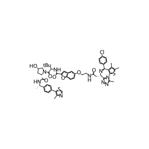 Cc1ncsc1-c1ccc([C@H](C)NC(=O)[C@@H]2C[C@@H](O)CN2C(=O)C(NC(=O)c2cc3cc(OCCNC(=O)C[C@@H]4N=C(c5ccc(Cl)cc5)c5c(sc(C)c5C)-n5c(C)nnc54)ccc3o2)C(C)(C)C)cc1